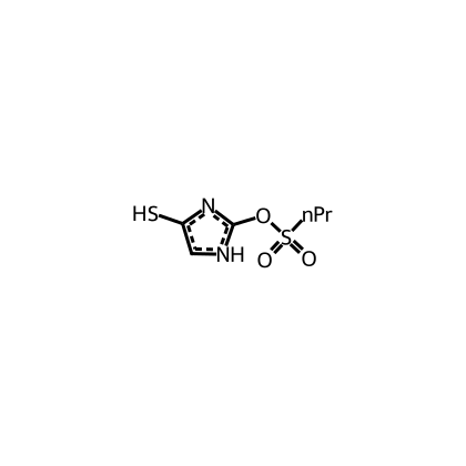 CCCS(=O)(=O)Oc1nc(S)c[nH]1